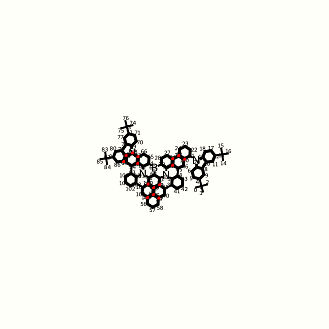 CC(C)(C)c1ccc2c(c1)c1cc(C(C)(C)C)ccc1n2-c1cccc(-c2ccc3c(c2)N(c2c(-c4ccccc4)cccc2-c2ccccc2)c2cc(-c4ccccc4)cc4c2B3c2ccc(-n3c5ccc(C(C)(C)C)cc5c5cc(C(C)(C)C)ccc53)cc2N4c2c(-c3ccccc3)cccc2-c2ccccc2)c1